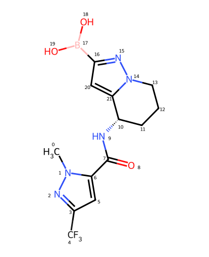 Cn1nc(C(F)(F)F)cc1C(=O)N[C@H]1CCCn2nc(B(O)O)cc21